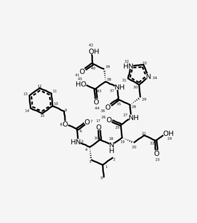 CC(C)C[C@H](NC(=O)OCc1ccccc1)C(=O)N[C@@H](CCC(=O)O)C(=O)N[C@@H](Cc1c[nH]cn1)C(=O)N[C@@H](CC(=O)O)C(=O)O